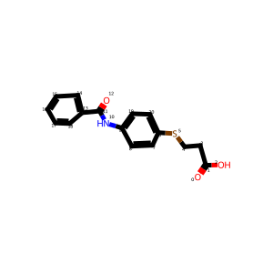 O=C(O)CCSc1ccc(NC(=O)c2ccccc2)cc1